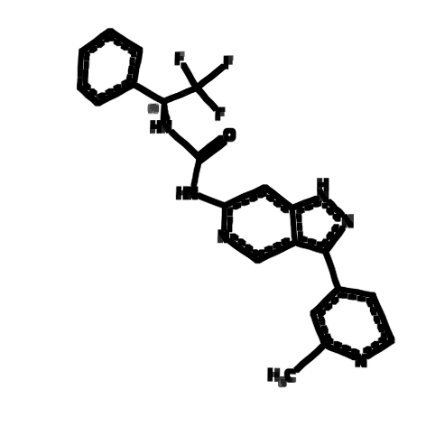 Cc1cc(-c2n[nH]c3cc(NC(=O)N[C@@H](c4ccccc4)C(F)(F)F)ncc23)ccn1